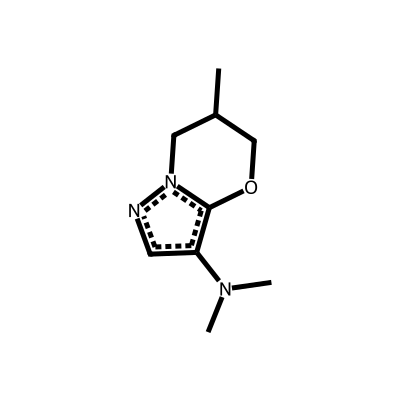 CC1COc2c(N(C)C)cnn2C1